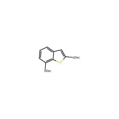 CCCCCCCCCCc1cc2cccc(CCCCCCCCCC)c2s1